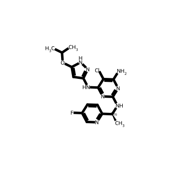 CC(C)Oc1cc(Nc2nc(N[C@@H](C)c3ccc(F)cn3)nc(N)c2Cl)n[nH]1